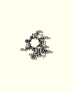 CCCCOP(=O)(OCCC)C(F)(F)C(=O)N[C@@H](CCNC(=O)OC(C)(C)C)C(=O)N[C@H](C(=O)N[C@@H](CCNC(=O)OC(C)(C)C)C(=O)N[C@H]1CCNC(=O)[C@H](C(C)O)NC(=O)[C@H](CCNC(=O)OC(C)(C)C)NC(=O)[C@H](CCNC(=O)OC(C)(C)C)NC(=O)[C@H](CC(C)C)NC(=O)[C@@H](Cc2ccccc2)NC(=O)[C@H](CCNC(=O)OC(C)(C)C)NC1=O)C(C)O